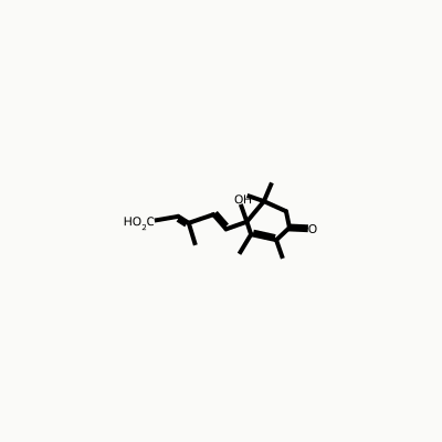 CC1=C(C)C(O)(/C=C/C(C)=C/C(=O)O)C(C)(C)CC1=O